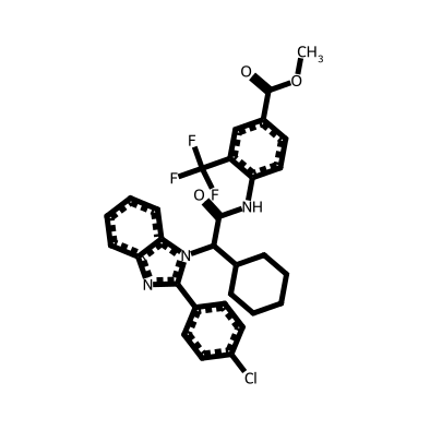 COC(=O)c1ccc(NC(=O)C(C2CCCCC2)n2c(-c3ccc(Cl)cc3)nc3ccccc32)c(C(F)(F)F)c1